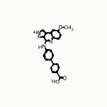 COc1ccc2nc(Nc3ccc(-c4ccc(C(=O)O)cc4)cc3)c3n[nH]cc3c2c1